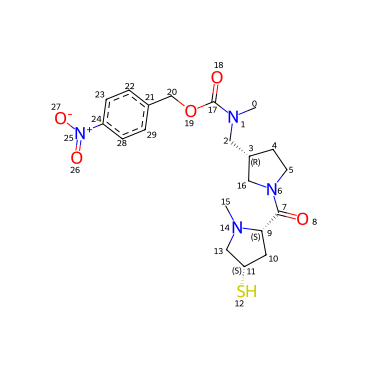 CN(C[C@@H]1CCN(C(=O)[C@@H]2C[C@H](S)CN2C)C1)C(=O)OCc1ccc([N+](=O)[O-])cc1